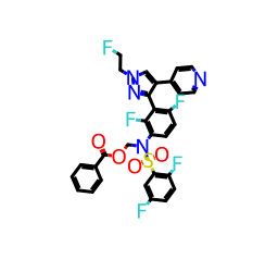 O=C(OCN(c1ccc(F)c(-c2nn(CCF)cc2-c2ccncc2)c1F)S(=O)(=O)c1cc(F)ccc1F)c1ccccc1